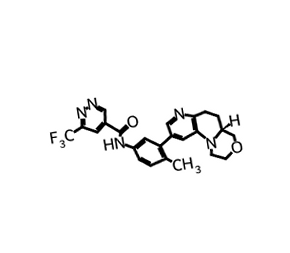 Cc1ccc(NC(=O)c2cnnc(C(F)(F)F)c2)cc1-c1cnc2c(c1)N1CCOC[C@H]1CC2